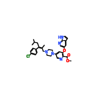 COC(=O)c1ncc(N2CCN(C/C(C)=C(/CC(C)C)c3ccc(Cl)cc3)CC2)cc1Oc1cnc2[nH]ccc2c1